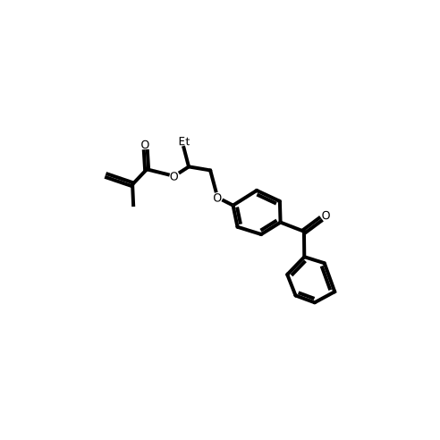 C=C(C)C(=O)OC(CC)COc1ccc(C(=O)c2ccccc2)cc1